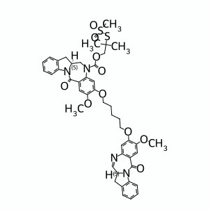 COc1cc2c(cc1OCCCCCOc1cc3c(cc1OC)C(=O)N1c4ccccc4C[C@H]1CN3C(=O)OCC(C)(C)SS(C)(=O)=O)N=C[C@@H]1Cc3ccccc3N1C2=O